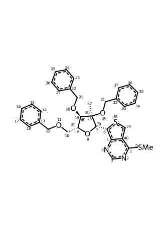 CSc1ncnc2c([C@@H]3O[C@H](COCc4ccccc4)[C@@H](OCc4ccccc4)[C@@]3(C)OCc3ccccc3)scc12